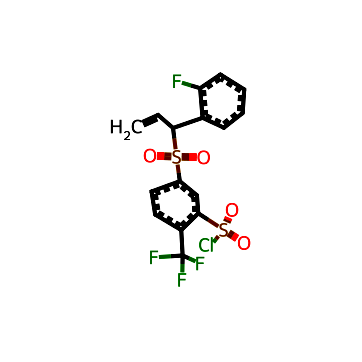 C=CC(c1ccccc1F)S(=O)(=O)c1ccc(C(F)(F)F)c(S(=O)(=O)Cl)c1